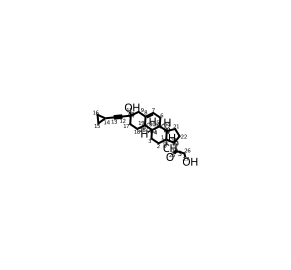 C[C@]12CC[C@H]3[C@@H](CC=C4C[C@@](O)(C#CC5CC5)CC[C@@H]43)[C@@H]1CC[C@@H]2C(=O)CO